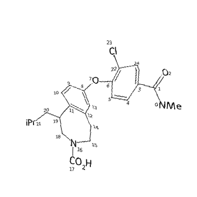 CNC(=O)c1ccc(Oc2ccc3c(c2)CCN(C(=O)O)CC3CC(C)C)c(Cl)c1